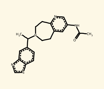 CC(=O)Nc1cnc2c(c1)CCN(C(C)c1ccc3scnc3c1)CC2